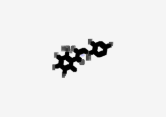 Cc1c(F)c(F)c(F)c(F)c1C(=O)/C(=C\Nc1ccc(F)cc1F)C(=O)O